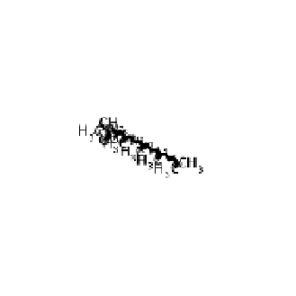 CC(C)=CCC/C(C)=C/CC/C(C)=C/CC/C(C)=C/C1=N[C@H](C(C)C)C(=O)O1